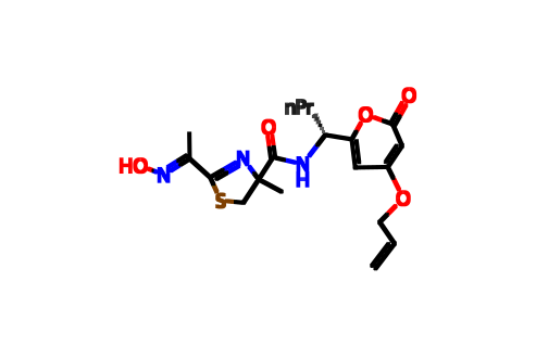 C=CCOc1cc([C@@H](CCC)NC(=O)C2(C)CSC(/C(C)=N/O)=N2)oc(=O)c1